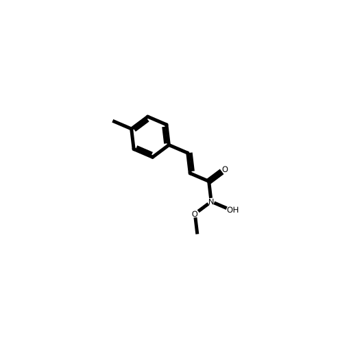 CON(O)C(=O)C=Cc1ccc(C)cc1